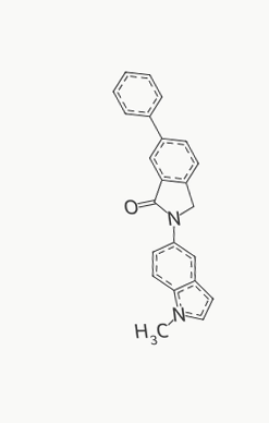 Cn1ccc2cc(N3Cc4ccc(-c5ccccc5)cc4C3=O)ccc21